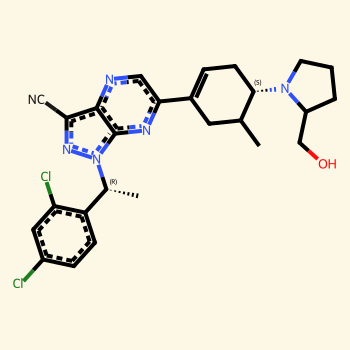 CC1CC(c2cnc3c(C#N)nn([C@H](C)c4ccc(Cl)cc4Cl)c3n2)=CC[C@@H]1N1CCCC1CO